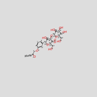 CNC(=O)COc1cccc([C@H]2O[C@H](CO)[C@@H](O)[C@H](O[C@H]3O[C@H](CO)[C@@H](O)[C@H](O)[C@@H]3O)[C@@H]2O)c1